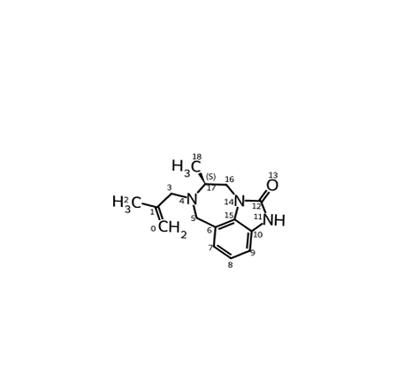 C=C(C)CN1Cc2cccc3[nH]c(=O)n(c23)C[C@@H]1C